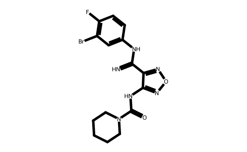 N=C(Nc1ccc(F)c(Br)c1)c1nonc1NC(=O)N1CCCCC1